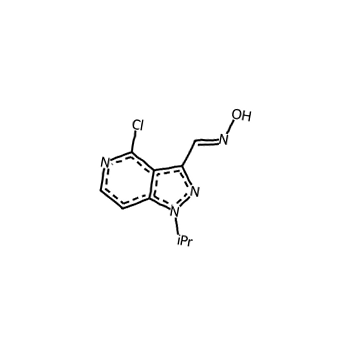 CC(C)n1nc(/C=N/O)c2c(Cl)nccc21